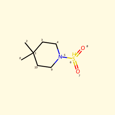 CC1(C)CCN([SH](=O)=O)CC1